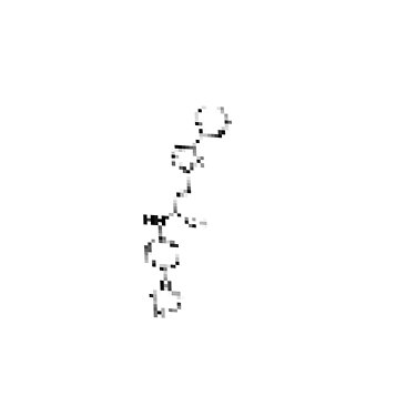 OC(/C=C/c1ccc(-c2ccccc2)s1)Nc1ccc(-n2ccnc2)cc1